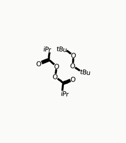 CC(C)(C)OOC(C)(C)C.CC(C)C(=O)OOC(=O)C(C)C